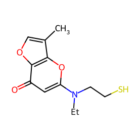 CCN(CCS)c1cc(=O)c2occ(C)c2o1